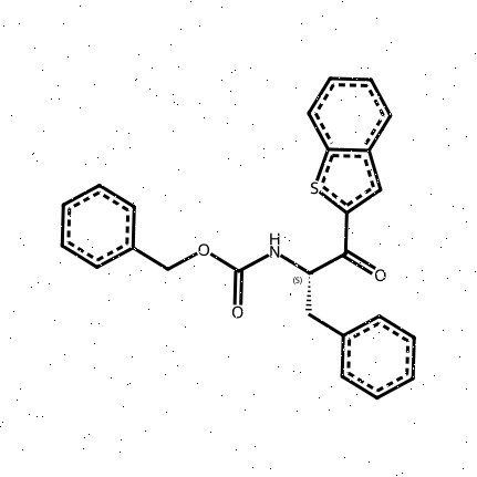 O=C(N[C@@H](Cc1ccccc1)C(=O)c1cc2ccccc2s1)OCc1ccccc1